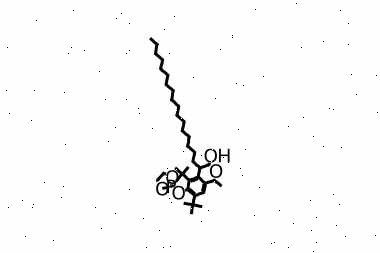 CCCCCCCCCCCCCCCCCC(C(=O)O)c1c(CC)cc(C(C)(C)C)c(OP2OCCO2)c1C(C)(C)C